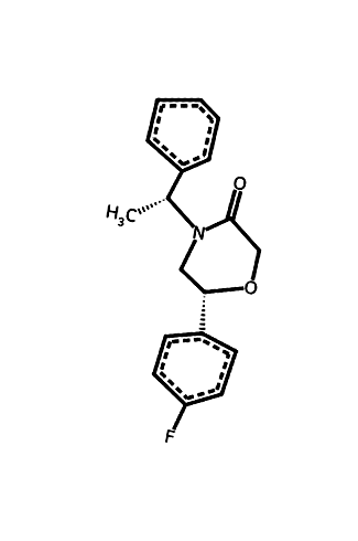 C[C@H](c1ccccc1)N1C[C@@H](c2ccc(F)cc2)OCC1=O